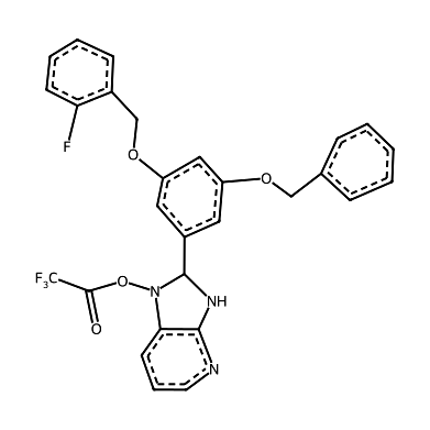 O=C(ON1c2cccnc2NC1c1cc(OCc2ccccc2)cc(OCc2ccccc2F)c1)C(F)(F)F